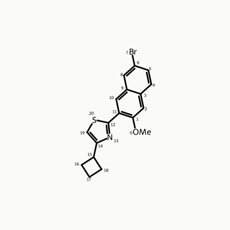 COc1cc2ccc(Br)cc2cc1-c1nc(C2CCC2)cs1